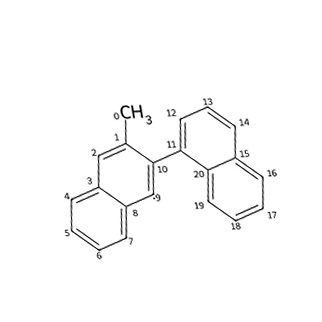 Cc1cc2ccccc2[c]c1-c1cccc2ccccc12